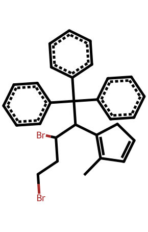 CC1=C(C(C(Br)CCBr)C(c2ccccc2)(c2ccccc2)c2ccccc2)CC=C1